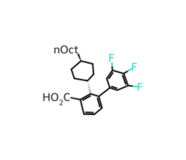 CCCCCCCC[C@H]1CC[C@H](c2c(C(=O)O)cccc2-c2cc(F)c(F)c(F)c2)CC1